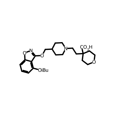 CC(C)COc1cccc2onc(OCC3CCN(CCC4(C(=O)O)CCOCC4)CC3)c12